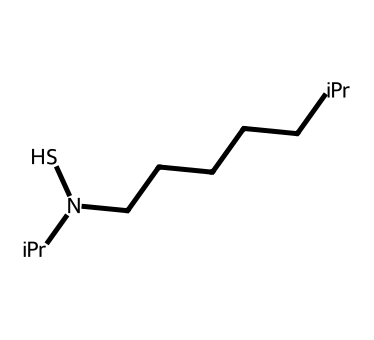 CC(C)CCCCCN(S)C(C)C